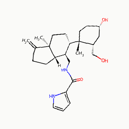 C=C1CC[C@H]2[C@H](CNC(=O)c3ccc[nH]3)[C@@H]([C@]3(C)CC[C@H](O)C[C@@H]3CO)CC[C@]12C